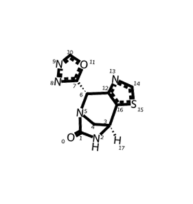 O=C1N[C@H]2CN1[C@H](c1nnco1)c1ncsc12